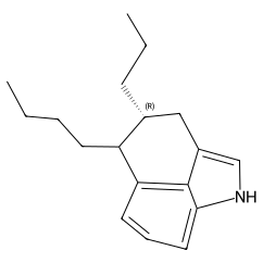 CCCCC1c2cccc3[nH]cc(c23)C[C@H]1CCC